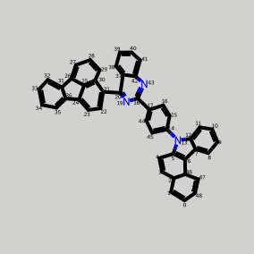 C1=CC2C=Cc3c(c4ccccc4n3-c3ccc(-c4nc(-c5ccc6c7c(cccc57)-c5ccccc5-6)c5ccccc5n4)cc3)C2C=C1